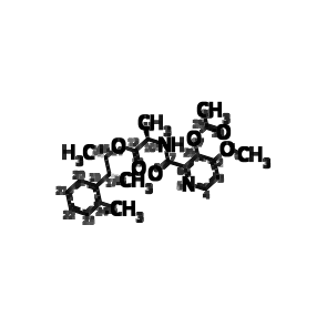 COc1ccnc(C(=O)N[C@H](C)C(=O)O[C@@H](C)[C@H](C)c2ccccc2C)c1OC(C)=O